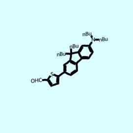 CCCCN(CCCC)c1ccc2c(c1)C(CCCC)(CCCC)c1cc(-c3ccc(C=O)s3)ccc1-2